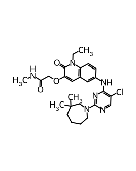 CCn1c(=O)c(OCC(=O)NC)cc2cc(Nc3nc(N4CCCCC(C)(C)C4)ncc3Cl)ccc21